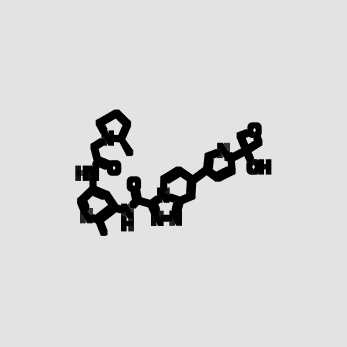 Cc1ncc(NC(=O)CN2CCC[C@H]2C)cc1NC(=O)c1nnc2cc(-c3ccc(C4(O)COC4)nc3)ccn12